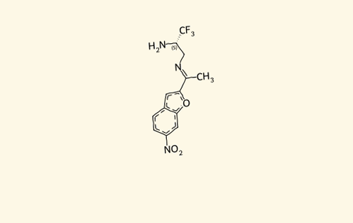 CC(=NC[C@H](N)C(F)(F)F)c1cc2ccc([N+](=O)[O-])cc2o1